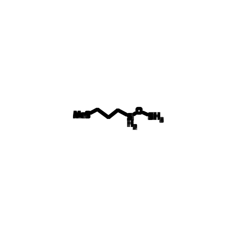 CSCCC[SiH2]O[SiH3]